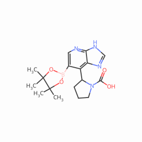 CC1(C)OB(c2cnc3[nH]cnc3c2C2CCCN2C(=O)O)OC1(C)C